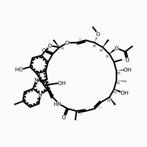 CO[C@H]1/C=C/O[C@@]2(C)Oc3cc(O)c4c(O)c(c5c(nc6cc(C)ccn65)c4c3C2=O)NC(=O)/C(C)=C\C=C\[C@H](C)[C@H](O)[C@@H](C)[C@@H](O)C(C)[C@H](OC(C)=O)[C@@H]1C